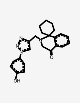 O=C1CN(Cc2cn(-c3ccc(O)cc3)nn2)C2(CCCCC2)c2ccccc21